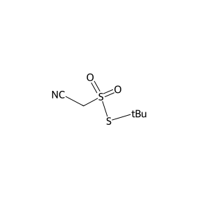 CC(C)(C)SS(=O)(=O)CC#N